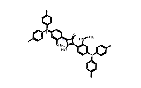 CC(=O)NC1=CC(=[PH](c2ccc(C)cc2)c2ccc(C)cc2)C=C/C1=C1\C(=O)C(c2ccc(N(c3ccc(C)cc3)c3ccc(C)cc3)cc2NC=O)=C1O